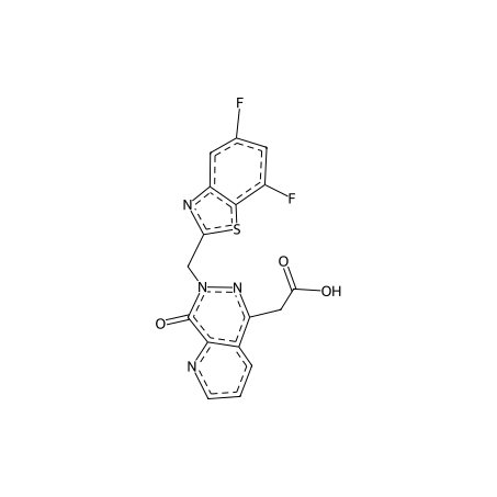 O=C(O)Cc1nn(Cc2nc3cc(F)cc(F)c3s2)c(=O)c2ncccc12